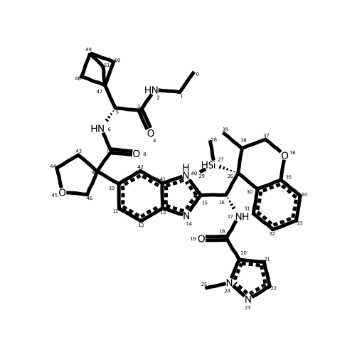 CCNC(=O)[C@H](NC(=O)C1(c2ccc3nc([C@@H](NC(=O)c4ccnn4C)[C@]4([SiH](C)C)c5ccccc5OCC4C)[nH]c3c2)CCOC1)C12CC(C1)C2